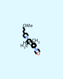 COCCCC1CCN(C(C=C(C)C)CC(C)(C)c2ccc(N3CCOCC3)cc2)CC1